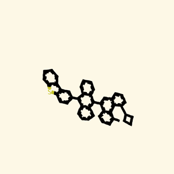 Cc1cccc2c(-c3c4ccccc4c(-c4ccc5sc6ccccc6c5c4)c4ccccc34)cc3cccc(C4CCC4)c3c12